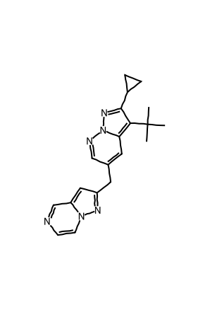 CC(C)(C)c1c(C2CC2)nn2ncc(Cc3cc4cnccn4n3)cc12